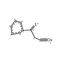 C#CCC(=S)c1ccccc1